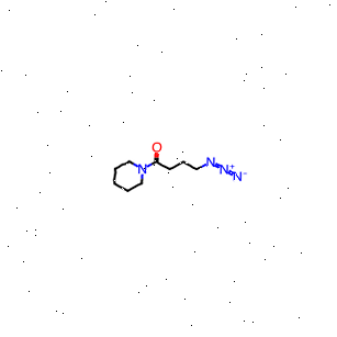 [N-]=[N+]=NCCCC(=O)N1CCCCC1